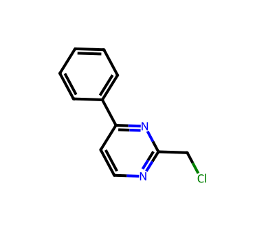 ClCc1nccc(-c2ccccc2)n1